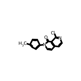 Cc1ccc(-n2ccc3ccnc(Cl)c3c2=O)cc1